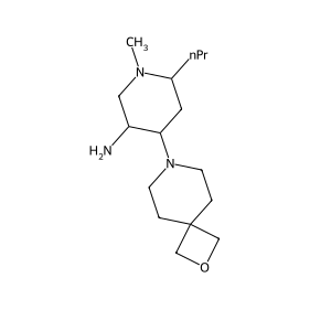 CCCC1CC(N2CCC3(CC2)COC3)C(N)CN1C